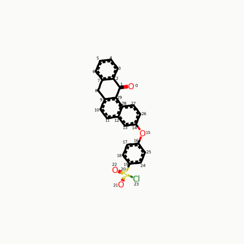 O=C1c2ccccc2Cc2ccc3cc(Oc4ccc(S(=O)(=O)Cl)cc4)ccc3c21